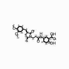 COc1ccc(/C=C2\SC(=S)N(CCC(=O)Nc3ccc(O)c(C(=O)O)c3)C2=O)cc1OC